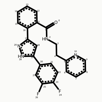 O=C(NCCc1ccccn1)c1ccccc1-c1cc(-c2ccc(F)c(F)c2)[nH]n1